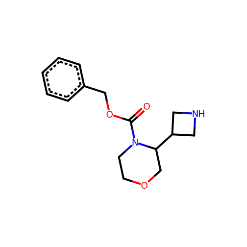 O=C(OCc1ccccc1)N1CCOCC1C1CNC1